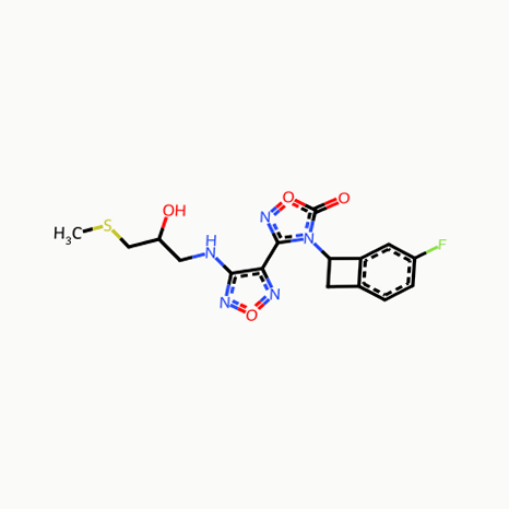 CSCC(O)CNc1nonc1-c1noc(=O)n1C1Cc2ccc(F)cc21